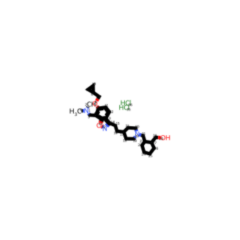 CN(C)Cc1c(OCC2CC2)ccc2c(CCC3CCN(CC4CCCCC4CO)CC3)noc12.Cl.Cl